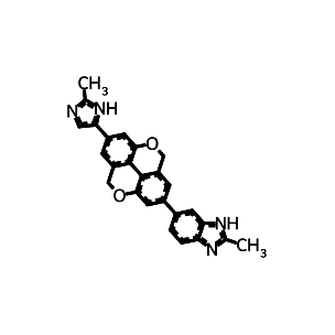 Cc1ncc(-c2cc3c4c(c2)OCc2cc(-c5ccc6nc(C)[nH]c6c5)cc(c2-4)OC3)[nH]1